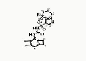 O=C(Nc1c2c(cc3c1CC3)CC2)NS(=O)(=O)c1cnn2c1C(F)(F)CCC2